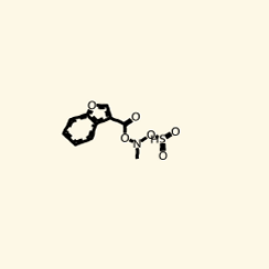 CN(OC(=O)c1coc2ccccc12)O[SH](=O)=O